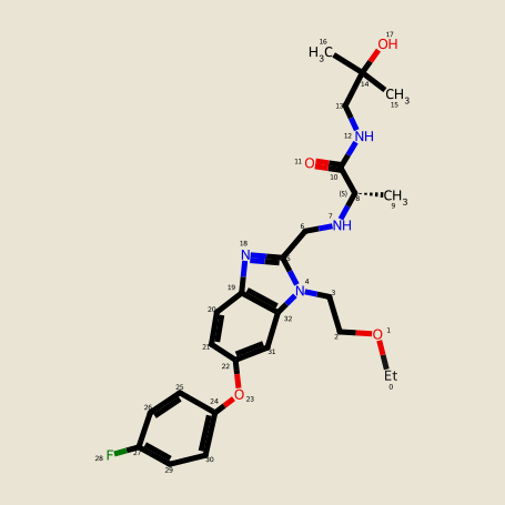 CCOCCn1c(CN[C@@H](C)C(=O)NCC(C)(C)O)nc2ccc(Oc3ccc(F)cc3)cc21